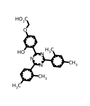 Cc1ccc(-c2nc(-c3ccc(C)cc3C)nc(-c3ccc(OCC(=O)O)cc3O)n2)c(C)c1